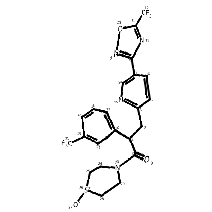 O=C(C(Cc1ccc(-c2noc(C(F)(F)F)n2)cn1)c1cccc(C(F)(F)F)c1)N1CC[S+]([O-])CC1